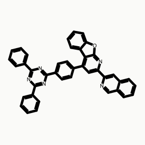 c1ccc(-c2nc(-c3ccccc3)nc(-c3ccc(-c4cc(-c5cc6ccccc6cn5)nc5oc6ccccc6c45)cc3)n2)cc1